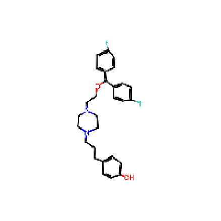 Oc1ccc(CCCN2CCN(CCOC(c3ccc(F)cc3)c3ccc(F)cc3)CC2)cc1